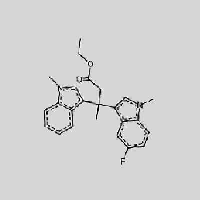 CCOC(=O)CC(C)(c1cn(C)c2ccccc12)c1cn(C)c2ccc(F)cc12